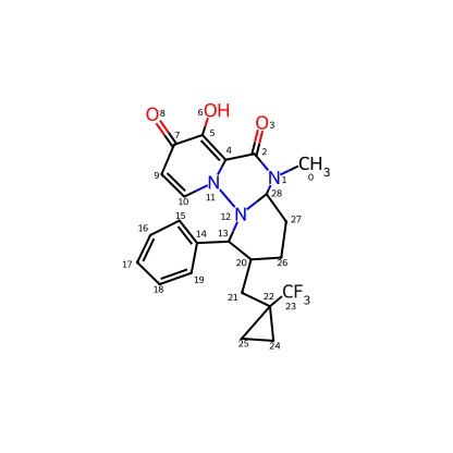 CN1C(=O)c2c(O)c(=O)ccn2N2C(c3ccccc3)C(CC3(C(F)(F)F)CC3)CCC12